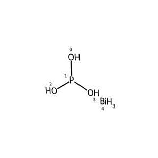 OP(O)O.[BiH3]